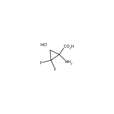 Cl.NC1(C(=O)O)CC1(F)F